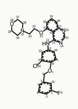 Fc1cccc(COc2ccc(Nc3ncnc4cccc(OCCN5CCOCC5)c34)cc2Cl)c1